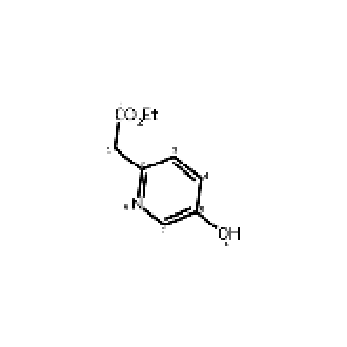 CCOC(=O)Cc1ccc(O)cn1